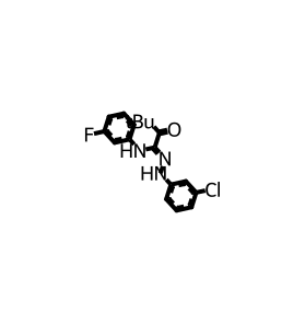 CC(C)(C)C(=O)/C(=N/Nc1cccc(Cl)c1)Nc1cccc(F)c1